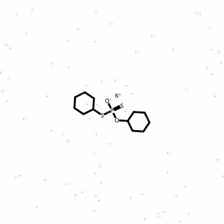 [K+].[O-]P(=S)(OC1CCCCC1)SC1CCCCC1